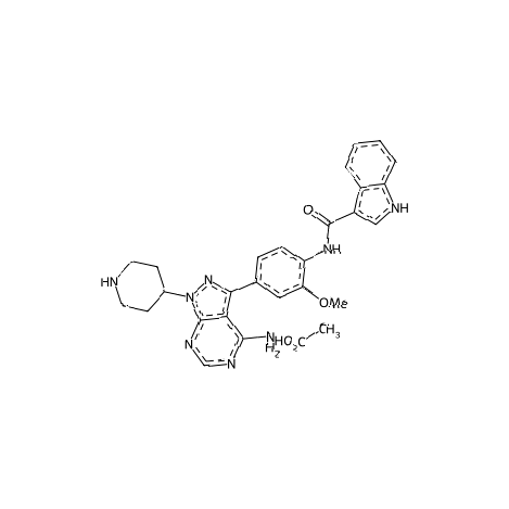 CC(=O)O.COc1cc(-c2nn(C3CCNCC3)c3ncnc(N)c23)ccc1NC(=O)c1c[nH]c2ccccc12